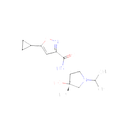 CC(C)N1C[C@@H](NC(=O)c2cc(C3CC3)on2)[C@@](C)(O)C1